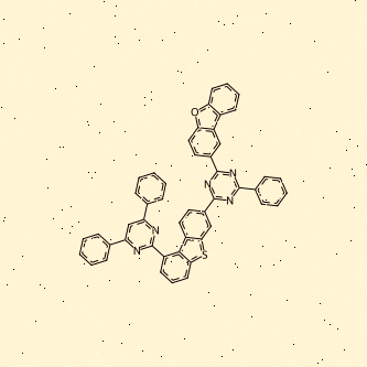 c1ccc(-c2cc(-c3ccccc3)nc(-c3cccc4sc5cc(-c6nc(-c7ccccc7)nc(-c7ccc8oc9ccccc9c8c7)n6)ccc5c34)n2)cc1